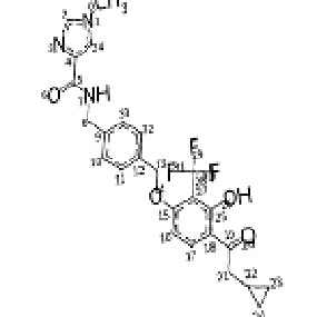 Cn1cnc(C(=O)NCc2ccc(COc3ccc(C(=O)CC4CC4)c(O)c3C(F)(F)F)cc2)c1